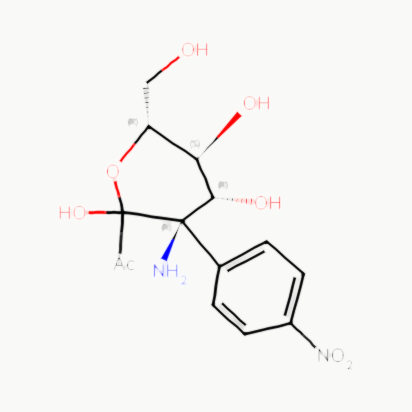 CC(=O)C1(O)O[C@H](CO)[C@@H](O)[C@H](O)[C@]1(N)c1ccc([N+](=O)[O-])cc1